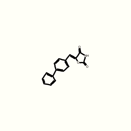 O=C1NC(=O)C(=Cc2ccc(-c3ccccc3)cc2)O1